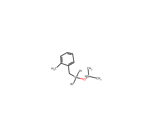 Cc1ccccc1C[Si](O[SiH](C)C)(C(C)C)C(C)C